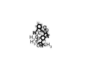 COc1cc2c(cc1-c1c(C)noc1C)ncc1oc(=O)n([C@H](C)c3ccccc3C#N)c12